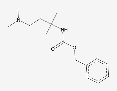 CN(C)CCC(C)(C)NC(=O)OCc1ccccc1